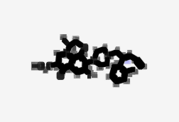 C#C/C=C(/CN1CCN(c2c(F)cc3c(=O)c(C(=O)O)cn4c3c2OC[C@@H]4C)CC1)c1ccccc1C